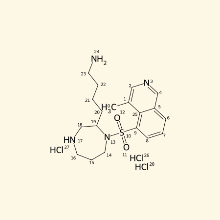 Cc1cncc2cccc(S(=O)(=O)N3CCCNCC3CCCCN)c12.Cl.Cl.Cl